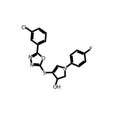 OC1CN(c2ccc(F)cc2)C=C1Sc1nnc(-c2cccc(Cl)c2)o1